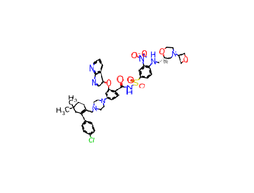 CC1(C)CCC(CN2CCN(c3ccc(C(=O)NS(=O)(=O)c4ccc(NC[C@H]5CN(C6COC6)CCO5)c([N+](=O)[O-])c4)c(OC4C=Nc5ncccc54)c3)CC2)=C(c2ccc(Cl)cc2)C1